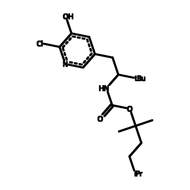 CC(C)CCC(C)(C)OC(=O)NC(Cc1cnc(Cl)c(O)c1)C(C)(C)C